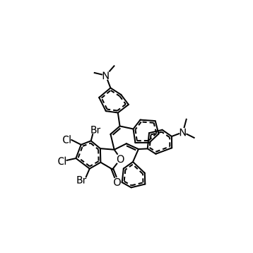 CN(C)c1ccc(/C(=C/C2(/C=C(\c3ccccc3)c3ccc(N(C)C)cc3)OC(=O)c3c(Br)c(Cl)c(Cl)c(Br)c32)c2ccccc2)cc1